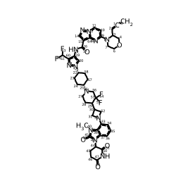 C=C=CC1COCCN1c1ccn2ncc(C(=O)Nc3cn([C@H]4CC[C@@H](N5CCC(C6CN(c7cccc8c7n(C)c(=O)n8C7CCC(=O)NC7=O)C6)C(F)(F)C5)CC4)nc3C(F)F)c2n1